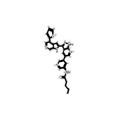 CCCCC(=O)Nc1cncc(-c2cnc3[nH]nc(-c4cc5c(-c6cccs6)cncc5[nH]4)c3c2)c1